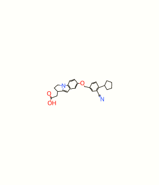 N#Cc1cc(COc2ccc3c(c2)cc2n3CCC2CC(=O)O)ccc1C1CCCC1